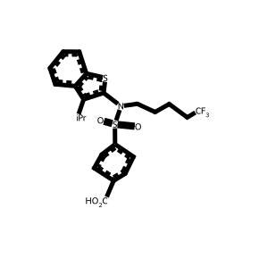 CC(C)c1c(N(CCCCC(F)(F)F)S(=O)(=O)c2ccc(C(=O)O)cc2)sc2ccccc12